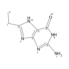 CCc1nc2nc(N)[nH]c(=O)c2[nH]1